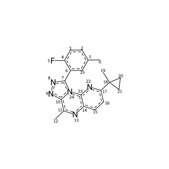 Cc1ccc(F)c(-c2nnc3c(C)nc4ccc(C5(C)CC5)nc4n23)c1